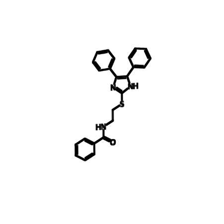 O=C(NCCSc1nc(-c2ccccc2)c(-c2ccccc2)[nH]1)c1ccccc1